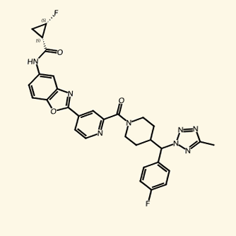 Cc1nnn(C(c2ccc(F)cc2)C2CCN(C(=O)c3cc(-c4nc5cc(NC(=O)[C@@H]6C[C@@H]6F)ccc5o4)ccn3)CC2)n1